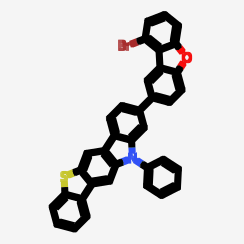 Brc1cccc2oc3ccc(-c4ccc5c6cc7sc8ccccc8c7cc6n(-c6ccccc6)c5c4)cc3c12